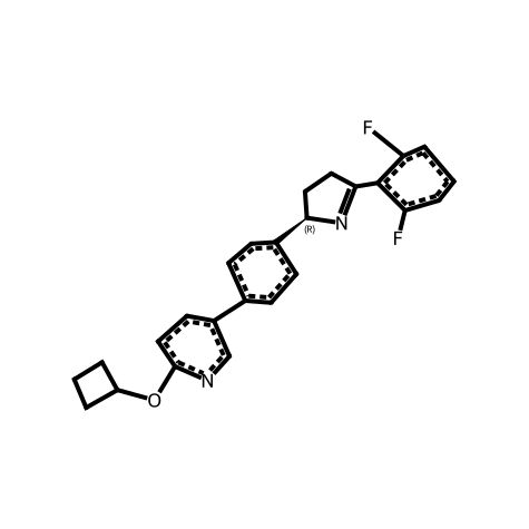 Fc1cccc(F)c1C1=N[C@@H](c2ccc(-c3ccc(OC4CCC4)nc3)cc2)CC1